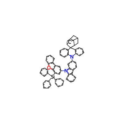 c1ccc([Si](c2ccccc2)(c2ccccc2)c2cc(-n3c4ccccc4c4ccc(N5c6ccccc6C6(c7ccccc75)C5CC7CC(C5)CC6C7)cc43)cc3c2oc2ccccc23)cc1